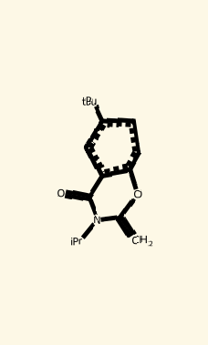 C=C1Oc2ccc(C(C)(C)C)cc2C(=O)N1C(C)C